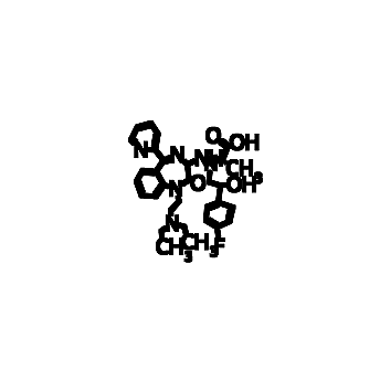 CCN(CC)CCN1C(=O)C(NN(CC(O)c2ccc(F)cc2)[C@@H](C)C(=O)O)N=C(c2ccccn2)c2ccccc21